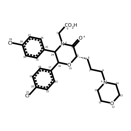 O=C(O)CN1C(=O)[C@H](CCCN2CCOCC2)OC(c2ccc(Cl)cc2)C1c1ccc(Cl)cc1